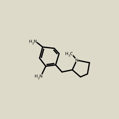 CN1CCCC1Cc1ccc(N)cc1N